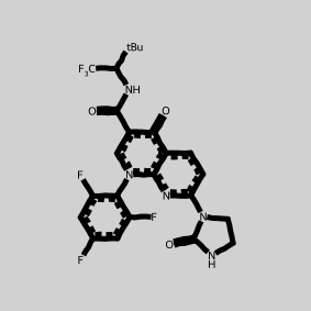 CC(C)(C)C(NC(=O)c1cn(-c2c(F)cc(F)cc2F)c2nc(N3CCNC3=O)ccc2c1=O)C(F)(F)F